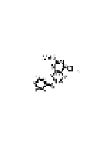 CSc1nc(C)c2c(n1)CN(Cc1ccccc1)CC2